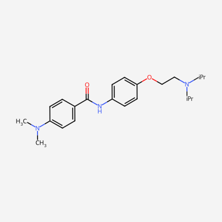 CC(C)N(CCOc1ccc(NC(=O)c2ccc(N(C)C)cc2)cc1)C(C)C